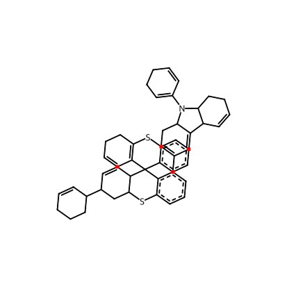 C1=CC(N2C3CC=C(c4cccc5c4C4(C6=C(CCC=C6)Sc6ccccc64)C4C=CC(C6C=CCCC6)CC4S5)C=C3C3C=CCCC32)=CCC1